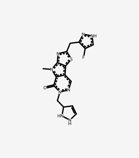 Cn1c2nc(Cc3n[nH]cc3F)sc2c2cnn(CC3C=CNN3)c(=O)c21